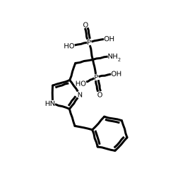 NC(Cc1c[nH]c(Cc2ccccc2)n1)(P(=O)(O)O)P(=O)(O)O